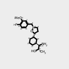 COc1cc(CN2CC[C@@H](C3CCC[C@H](C(N)[C@H](C)O)C3)O2)ccc1F